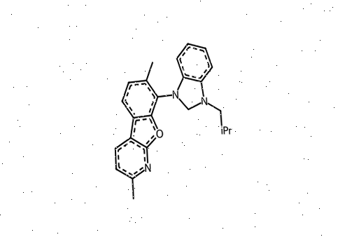 Cc1ccc2c(n1)oc1c(N3CN(CC(C)C)c4ccccc43)c(C)ccc12